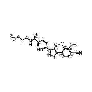 C=C(/C=C\C(=N)n1ncc(-c2ccc(C#N)c(OC)c2C)c1O)C(=O)NCCCOC